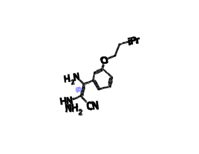 CC(C)CCOc1cccc(/C(N)=C(\C#N)NN)c1